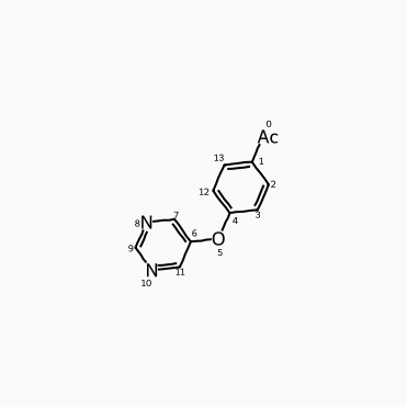 CC(=O)c1ccc(Oc2cncnc2)cc1